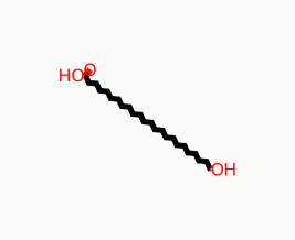 O=C(O)CCCCCCCCCCCCCCCCCCCCCCCO